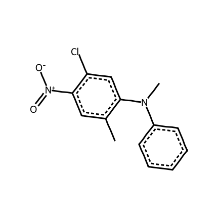 Cc1cc([N+](=O)[O-])c(Cl)cc1N(C)c1ccccc1